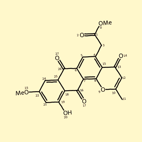 COC(=O)Cc1cc2c(c3oc(C)cc(=O)c13)C(=O)c1c(O)cc(OC)cc1C2=O